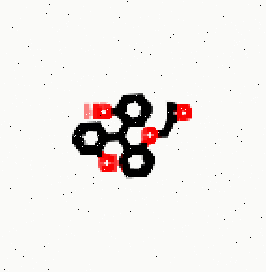 Oc1ccccc1C(c1ccccc1O)c1ccccc1OCC1CO1